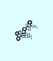 CC(NC(=O)c1ccc2c(c1)CCCN2Cc1cccc(-c2ccccc2C(=O)OC(C)(C)C)c1)c1ccccc1